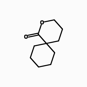 O=C1OCCCC12CCCCC2